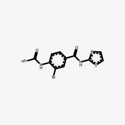 CCCC(=O)Nc1ccc(C(=O)Nc2nccs2)cc1Br